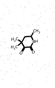 CC1BC(=O)C(=O)C(C)(C)C1